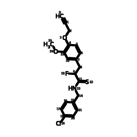 C#CCOc1ccc(CC(F)C(=S)NCc2ccc(Cl)cc2)cc1OC